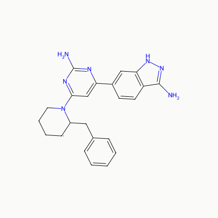 Nc1nc(-c2ccc3c(N)n[nH]c3c2)cc(N2CCC[CH]C2Cc2ccccc2)n1